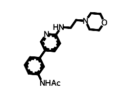 CC(=O)Nc1cccc(-c2ccc(NCCN3CCOCC3)nc2)c1